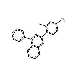 FC(F)(F)c1ccc(-c2nc(-c3ccccc3)c3ccccc3n2)c(I)c1